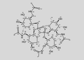 CC(=O)NO[C@H]1[C@@H](OP(=O)(O[C@H]2O[C@H](C)[C@@H](O)[C@H](O)[C@H]2ONC(C)=O)OP(=O)(O[C@H]2O[C@H](C)[C@@H](O)[C@H](O)[C@H]2ONC(C)=O)O[C@H]2O[C@H](C)[C@@H](O)[C@H](O)[C@H]2ONC(C)=O)O[C@H](C)[C@@H](O)[C@@H]1O